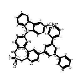 N#Cc1ccc2c(c1)c1ccccc1n2-c1ccc2c(c1)-c1cc(-c3cc(-c4ccccc4)cc(-c4ccccc4)c3)ccc1CS(=O)(=O)C2